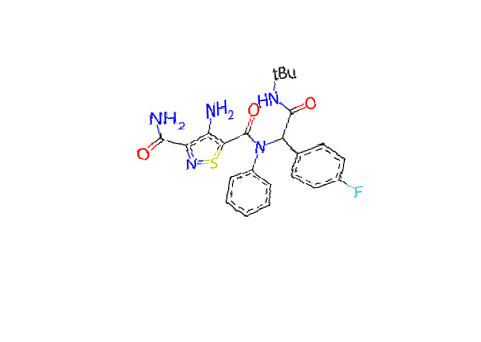 CC(C)(C)NC(=O)C(c1ccc(F)cc1)N(C(=O)c1snc(C(N)=O)c1N)c1ccccc1